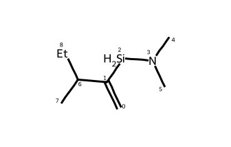 C=C([SiH2]N(C)C)C(C)CC